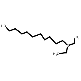 CCN(CC)CCCCCCCCCCO